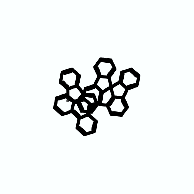 c1ccc2c(c1)-c1cc3c4ccccc4c4ccccc4c3cc1C21c2ccccc2-c2cccc(-c3ccc4sc5ccccc5c4c3)c21